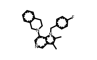 Cc1c(C)n(Cc2ccc(F)cc2)c2c(N3CCc4ccccc4C3)cncc12